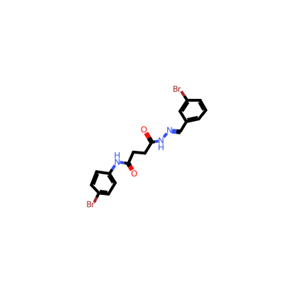 O=C(CCC(=O)Nc1ccc(Br)cc1)N/N=C/c1cccc(Br)c1